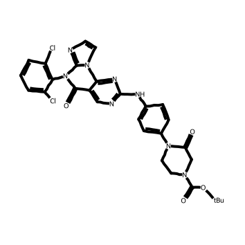 CC(C)(C)OC(=O)N1CCN(c2ccc(Nc3ncc4c(=O)n(-c5c(Cl)cccc5Cl)c5nccn5c4n3)cc2)C(=O)C1